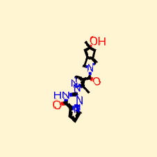 Cc1c(C(=O)N2CC3CC(C)(O)CC3C2)cnn1-c1nn2cccc2c(=O)[nH]1